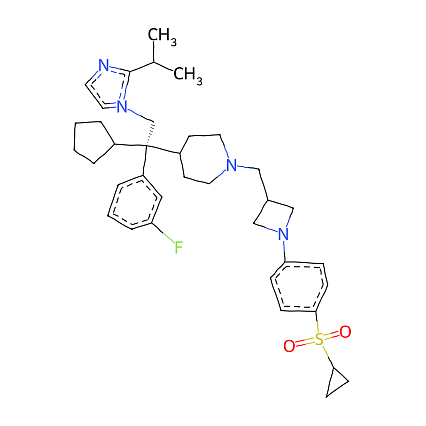 CC(C)c1nccn1C[C@](c1cccc(F)c1)(C1CCCC1)C1CCN(CC2CN(c3ccc(S(=O)(=O)C4CC4)cc3)C2)CC1